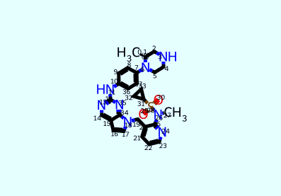 C[C@H]1CNCCN1c1ccc(Nc2ncc3ccn(Cc4cccnc4N(C)S(=O)(=O)C4CC4)c3n2)cc1